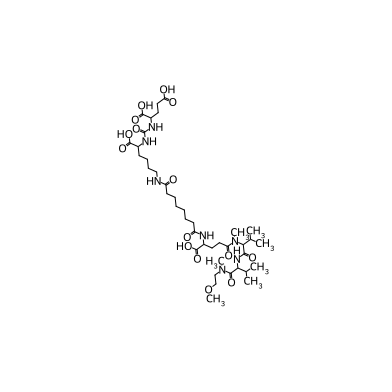 COCCN(C)C(=O)C(NC(=O)C(C(C)C)N(C)C(=O)CCC(NC(=O)CCCCCCC(=O)NCCCCC(NC(=O)NC(CCC(=O)O)C(=O)O)C(=O)O)C(=O)O)C(C)C